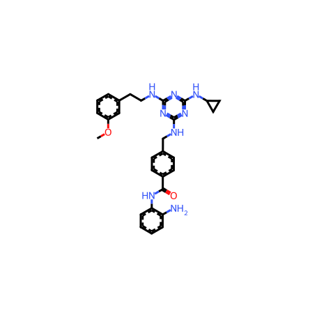 COc1cccc(CCNc2nc(NCc3ccc(C(=O)Nc4ccccc4N)cc3)nc(NC3CC3)n2)c1